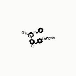 CCC(C)OCCOc1ccc(Cc2cc([C@H]3C[C@@H](OCc4ccccc4)C[C@@H](C=O)O3)ccc2Cl)cc1